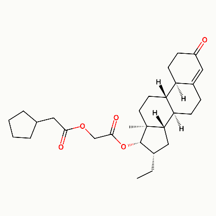 CC[C@H]1C[C@H]2[C@@H]3CCC4=CC(=O)CC[C@@H]4[C@H]3CC[C@]2(C)[C@H]1OC(=O)COC(=O)CC1CCCC1